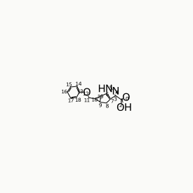 O=C(O)c1n[nH]c2c1CC1C(COc3ccccc3)C21